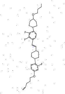 C=CCCCOc1ccc(C2CCC(/C=C/c3ccc(C4CCC(OCCCC)CC4)c(F)c3F)CC2)c(F)c1